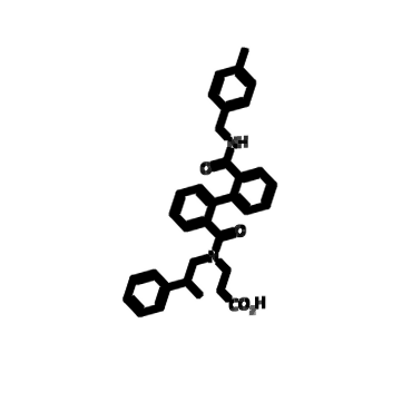 Cc1ccc(CNC(=O)c2ccccc2-c2ccccc2C(=O)N(CCC(=O)O)CC(C)c2ccccc2)cc1